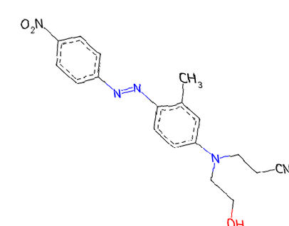 Cc1cc(N(CCO)CCC#N)ccc1N=Nc1ccc([N+](=O)[O-])cc1